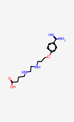 N=C(N)c1ccc(OCCCNCCNCCCC(=O)O)cc1